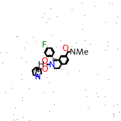 CNC(=O)c1ccc2c(c1)[C@@H](c1ccc(F)cc1)N(C(=O)O[C@@H]1CN3CCC1CC3)CC2